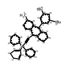 Cc1ccc2c(C#C[Si](C3=CCCC=C3)(c3ccccc3)c3ccccc3)c3ccccc3c(-c3cc(C(C)(C)C)cc(C(C)(C)C)c3)c2c1